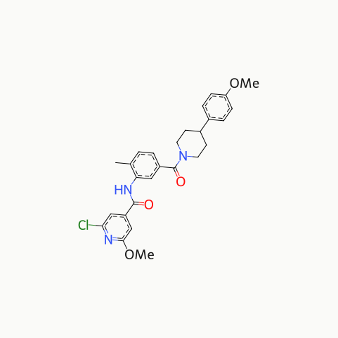 COc1ccc(C2CCN(C(=O)c3ccc(C)c(NC(=O)c4cc(Cl)nc(OC)c4)c3)CC2)cc1